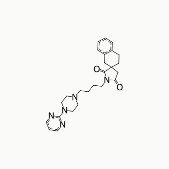 O=C1CC2(CCc3ccccc3C2)C(=O)N1CCCCN1CCN(c2ncccn2)CC1